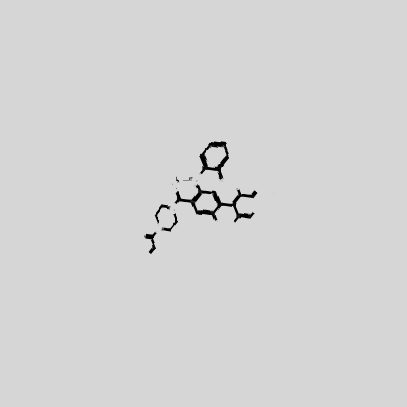 C=CC(=O)N1CCN(/C(=N/C)c2cc(Cl)c(C(/C(F)=C\C)=C(\O)C=C)cc2N(C=O)c2ccccc2C(C)C)CC1